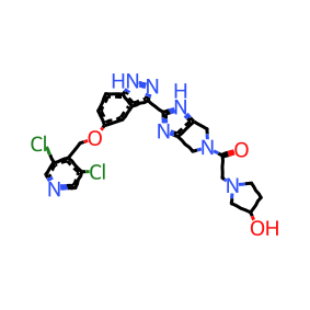 O=C(CN1CCC(O)C1)N1Cc2nc(-c3n[nH]c4ccc(OCc5c(Cl)cncc5Cl)cc34)[nH]c2C1